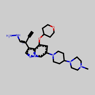 C#C/C(=C\NN)c1cnn2cc(N3CCC(N4CCN(C)CC4)CC3)cc(OC3CCOCC3)c12